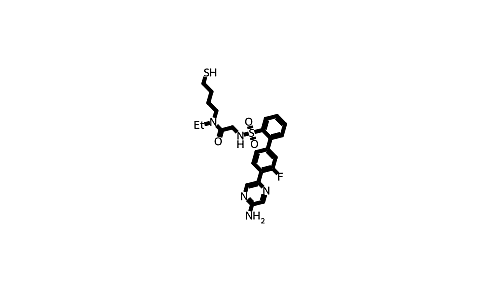 CCN(CCCCS)C(=O)CNS(=O)(=O)c1ccccc1-c1ccc(-c2cnc(N)cn2)c(F)c1